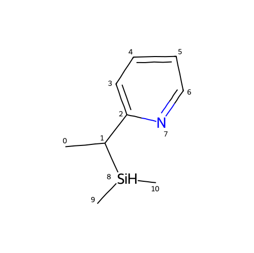 CC(c1ccccn1)[SiH](C)C